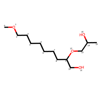 COCCCCCCCC(CO)OCC(C)O